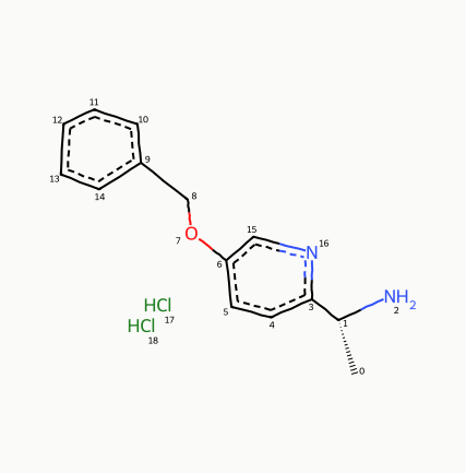 C[C@@H](N)c1ccc(OCc2ccccc2)cn1.Cl.Cl